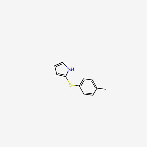 Cc1ccc(Sc2ccc[nH]2)cc1